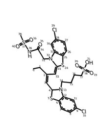 CCC(=CC1Sc2ccc(Cl)cc2N1CCCCS(=O)(=O)O)C=C1Sc2ccc(Cl)cc2N1CC(=O)NS(C)(=O)=O